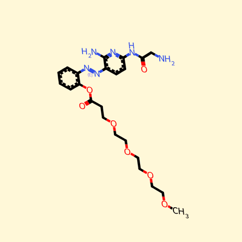 COCCOCCOCCOCCC(=O)Oc1ccccc1/N=N/c1ccc(NC(=O)CN)nc1N